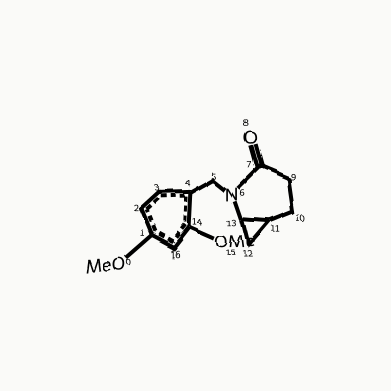 COc1ccc(CN2C(=O)CCC3CC32)c(OC)c1